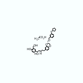 CC(=O)O.OCc1cc([C@@H](O)CNCCc2ccc3c(c2)O[C@H](COCc2cccc(SC4CCCC4)c2)CO3)ccc1O